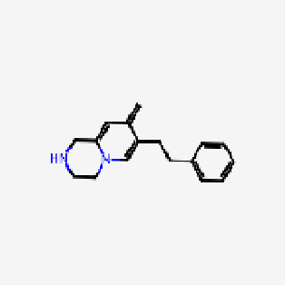 C=C1C=C2CNCCN2C=C1CCc1ccccc1